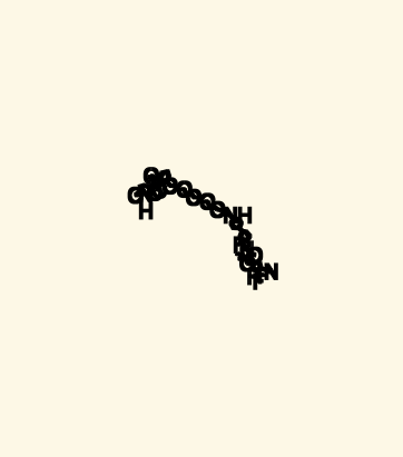 CC1(C)CN(Cc2ccc(-c3ccc(NCCOCCOCCOCCOCCOc4cccc5c4C(=O)N(C4CCC(=O)NC4=O)C5=O)cc3)cc2F)C(=O)C1Oc1ccc(C#N)c(C(F)(F)F)c1